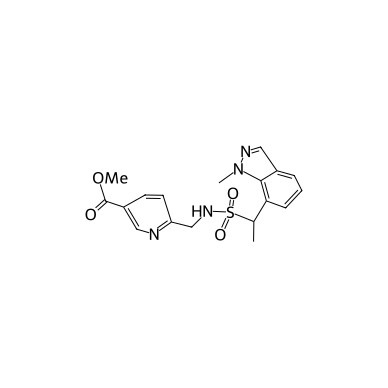 COC(=O)c1ccc(CNS(=O)(=O)C(C)c2cccc3cnn(C)c23)nc1